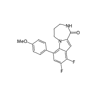 COc1ccc(-c2cc(F)c(F)c3cc4n(c23)CCCNC4=O)cc1